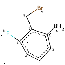 Bc1cccc(F)c1CBr